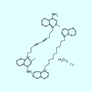 Cc1cc(N)c2ccccc2[n+]1CCCC#CC#CCCC[n+]1c(C)cc(N)c2ccccc21.O.[I-].[I-].[I-].[I-].c1ccc2c(c1)ccc[n+]2CCCCCCCCCC[n+]1cccc2ccccc21